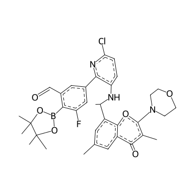 Cc1cc(C(C)Nc2ccc(Cl)nc2-c2cc(F)c(B3OC(C)(C)C(C)(C)O3)c(C=O)c2)c2oc(N3CCOCC3)c(C)c(=O)c2c1